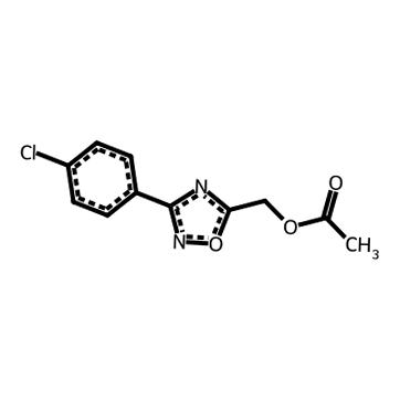 CC(=O)OCc1nc(-c2ccc(Cl)cc2)no1